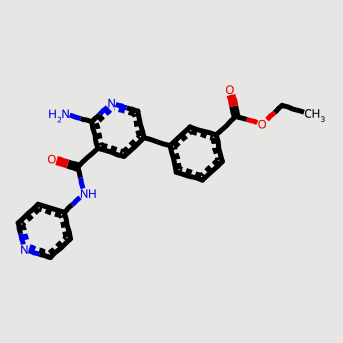 CCOC(=O)c1cccc(-c2cnc(N)c(C(=O)Nc3ccncc3)c2)c1